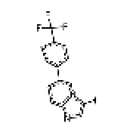 FC(F)(F)c1ccc(-c2ccc3ncc(I)n3c2)cc1